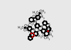 CC(C)(C)c1ccc(N2c3cc(N4c5ccc(C(C)(C)C)cc5C5(C)CCCCC45C)cc4c3B(c3cc5c(cc3N4c3cccc4sc6ccccc6c34)C(C)(C)CCC5(C)C)c3ccc4c(sc5ccccc54)c32)c(-c2ccccc2)c1